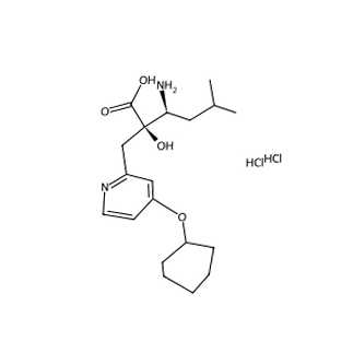 CC(C)C[C@H](N)[C@](O)(Cc1cc(OC2CCCCC2)ccn1)C(=O)O.Cl.Cl